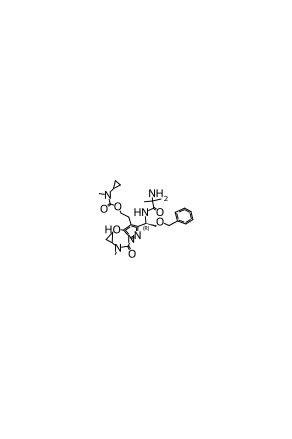 CN(C(=O)OCCc1c([C@H](COCc2ccccc2)NC(=O)C(C)(C)N)nn(C(=O)N(C)C2CC2)c1O)C1CC1